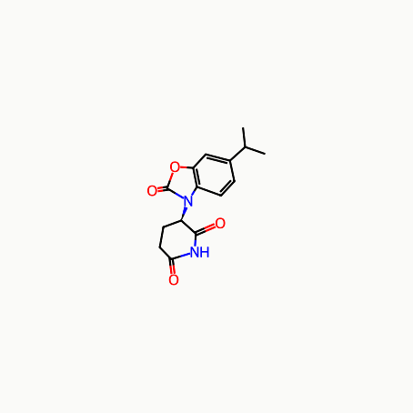 CC(C)c1ccc2c(c1)oc(=O)n2[C@@H]1CCC(=O)NC1=O